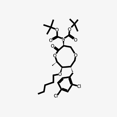 CCCCCO[C@@H]1[C@@H](Cc2ccc(Cl)cc2Cl)COC[C@H](N(C(=O)OC(C)(C)C)C(=O)OC(C)(C)C)C(=O)O[C@H]1C